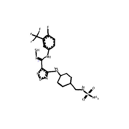 NS(=O)(=O)NCC1CCC(Nc2nonc2/C(=N/S)Nc2ccc(F)c(C(F)(F)F)c2)CC1